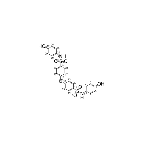 O=S(=O)(Nc1ccc(O)cc1)c1ccc(Oc2ccc(S(=O)(=O)Nc3ccc(O)cc3)cc2)cc1